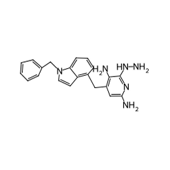 NNc1nc(N)cc(Cc2cccc3c2ccn3Cc2ccccc2)c1N